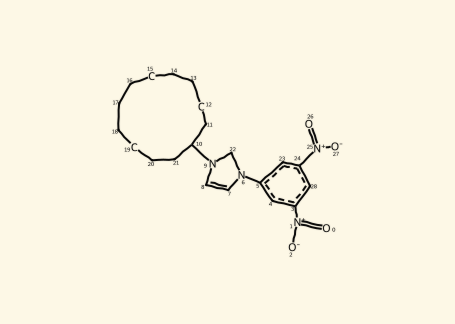 O=[N+]([O-])c1cc(N2C=CN(C3CCCCCCCCCCC3)C2)cc([N+](=O)[O-])c1